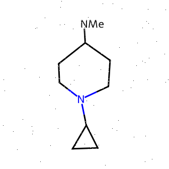 [CH2]NC1CCN(C2CC2)CC1